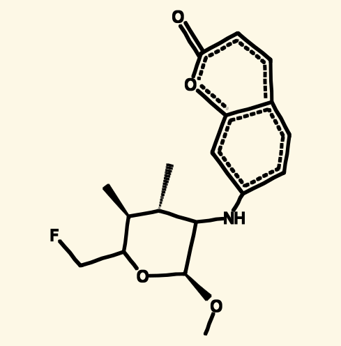 CO[C@H]1OC(CF)[C@@H](C)[C@H](C)C1Nc1ccc2ccc(=O)oc2c1